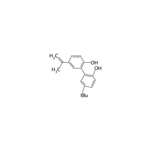 C=C(C)c1ccc(O)c(-c2cc(C(C)(C)C)ccc2O)c1